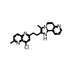 CC1=C(CCc2cc(Cl)c3nc(C)ccc3n2)NC2c3cccnc3C=CN12